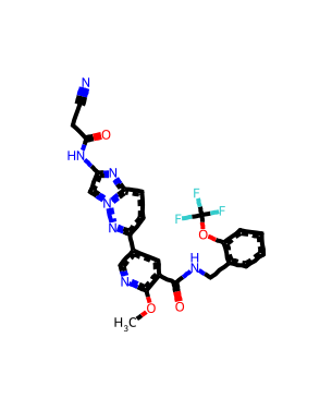 COc1ncc(-c2ccc3nc(NC(=O)CC#N)cn3n2)cc1C(=O)NCc1ccccc1OC(F)(F)F